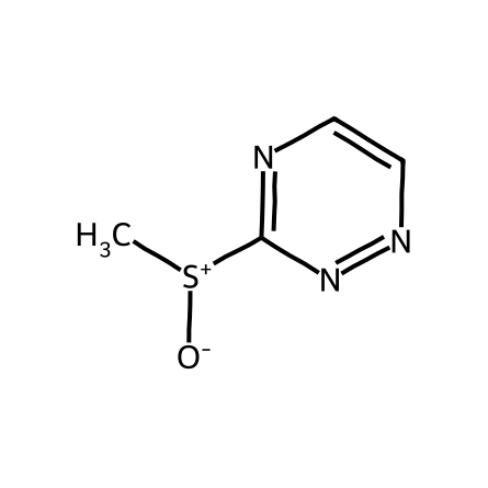 C[S+]([O-])c1nccnn1